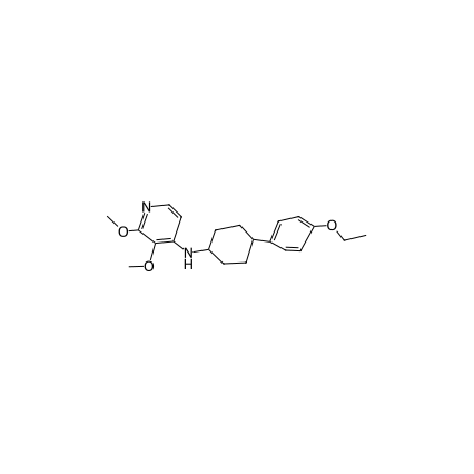 CCOc1ccc(C2CCC(Nc3ccnc(OC)c3OC)CC2)cc1